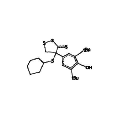 CC(C)(C)c1cc(C2(SC3CCCCC3)CSSC2=S)cc(C(C)(C)C)c1O